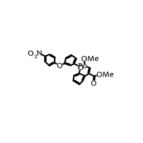 C[O][Po]/[CH]=C(/C(=O)OC)c1ccccc1Oc1cccc(Oc2ccc([N+](=O)[O-])cc2)c1